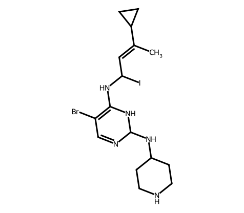 C/C(=C\C(I)NC1=C(Br)C=NC(NC2CCNCC2)N1)C1CC1